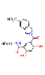 CCCCCNC(=O)c1cc(C(=O)N2Cc3ccc(C(=O)O)cc3C2)c(O)cc1O